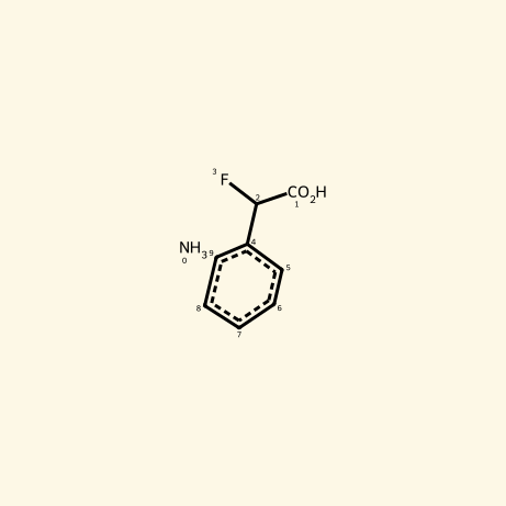 N.O=C(O)C(F)c1ccccc1